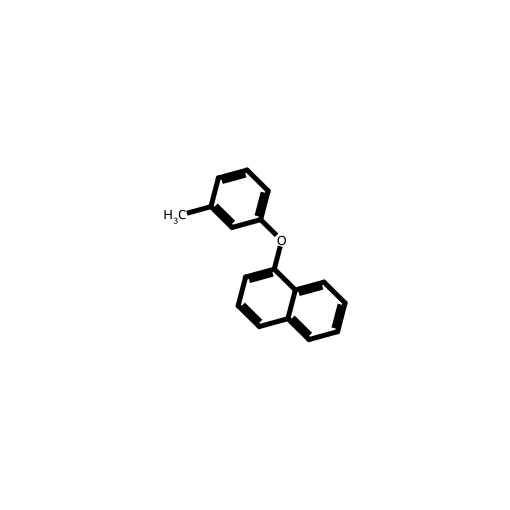 Cc1cccc(Oc2cccc3ccccc23)c1